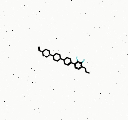 C=CC1CCC(C2CCC(C3CC=C(c4ccc(CCC)c(F)c4F)CC3)CC2)CC1